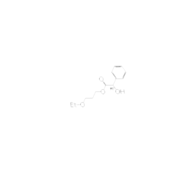 CCOCCCOC(=O)[C@H](O)c1ccccc1